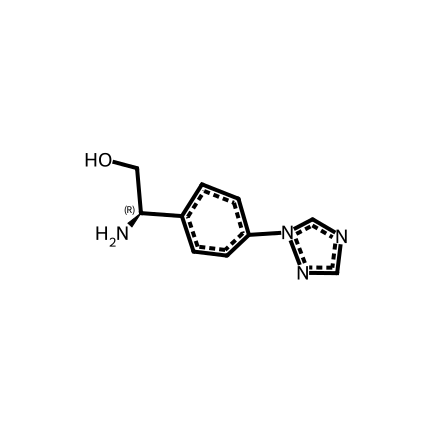 N[C@@H](CO)c1ccc(-n2cncn2)cc1